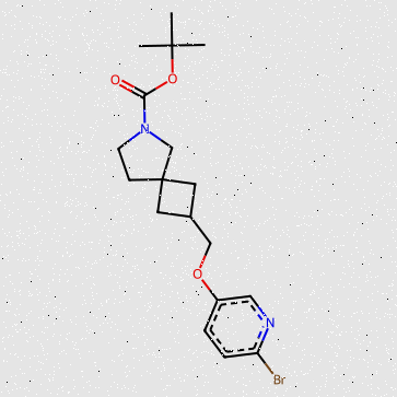 CC(C)(C)OC(=O)N1CCC2(CC(COc3ccc(Br)nc3)C2)C1